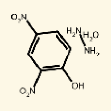 NN.O.O=[N+]([O-])c1ccc(O)c([N+](=O)[O-])c1